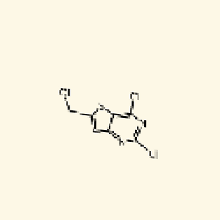 OCc1cc2nc(Cl)nc(Cl)c2s1